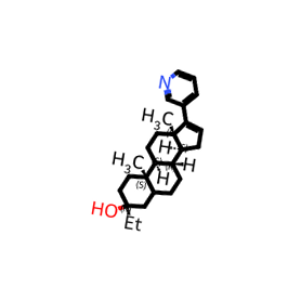 CC[C@@]1(O)CC[C@@]2(C)C(CC[C@@H]3[C@@H]2CC[C@]2(C)C(c4cccnc4)=CC[C@@H]32)C1